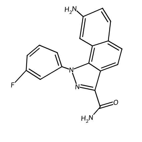 NC(=O)c1nn(-c2cccc(F)c2)c2c1ccc1ccc(N)cc12